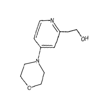 OCc1cc(N2CCOCC2)ccn1